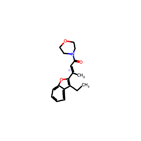 CCc1c(/C(C)=C/C(=O)N2CCOCC2)oc2ccccc12